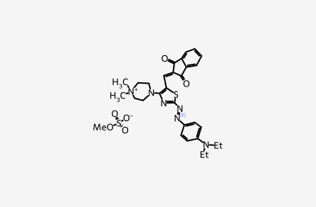 CCN(CC)c1ccc(/N=N/c2nc(N3CC[N+](C)(C)CC3)c(C=C3C(=O)c4ccccc4C3=O)s2)cc1.COS(=O)(=O)[O-]